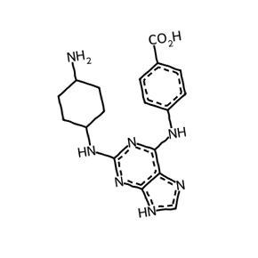 NC1CCC(Nc2nc(Nc3ccc(C(=O)O)cc3)c3nc[nH]c3n2)CC1